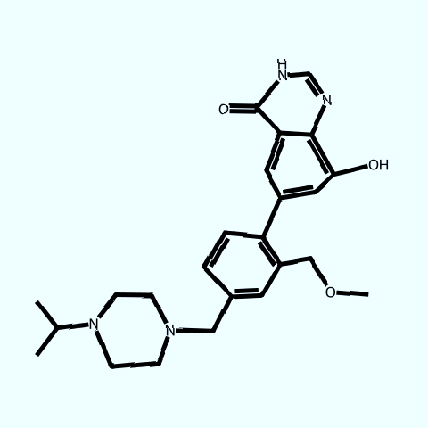 COCc1cc(CN2CCN(C(C)C)CC2)ccc1-c1cc(O)c2nc[nH]c(=O)c2c1